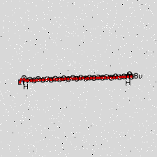 CC/C=C\CC(=O)NCCOCCOCCOCCOCCOCCOCCOCCOCCOCCOCCOCCOCCOCCOCCOCCOCCOCCOCCOCCOCCOCCOCCOCCNC(=O)OC(C)(C)C